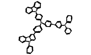 c1ccc(N(c2ccccc2)c2ccc(-c3ccc(N(c4ccc(-c5ccc6c(c5)c5ccccc5n6-c5ccccc5)cc4)c4ccc(-n5c6ccccc6c6ccccc65)cc4)cc3)cc2)cc1